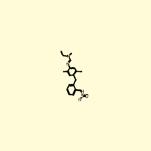 CCN(C)C=Nc1cc(C)c(Cc2ccccc2C[SH](=O)=O)cc1C